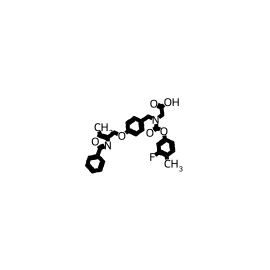 Cc1ccc(OC(=O)N(CC(=O)O)Cc2ccc(OCc3nc(-c4ccccc4)oc3C)cc2)cc1F